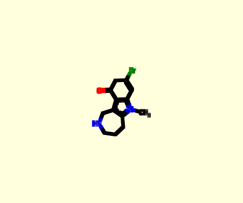 Cn1c2c(c3c1CCCNC3)C(=O)CC(Br)=C2